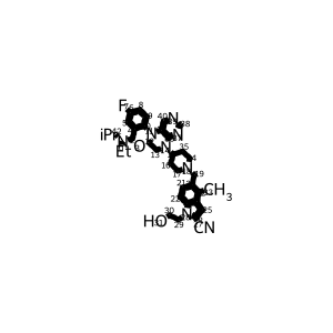 CCN(C(=O)c1cc(F)ccc1N1CCN(C2CCN(Cc3ccc4c(cc(C#N)n4CCO)c3C)CC2)c2ncncc21)C(C)C